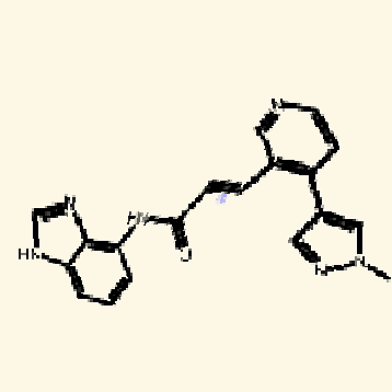 Cn1cc(-c2ccncc2/C=C/C(=O)Nc2cccc3[nH]cnc23)cn1